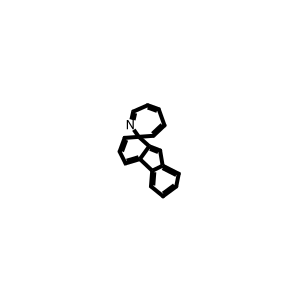 C1=CC=NC2(C=C1)C=CC=C1C2=Cc2ccccc21